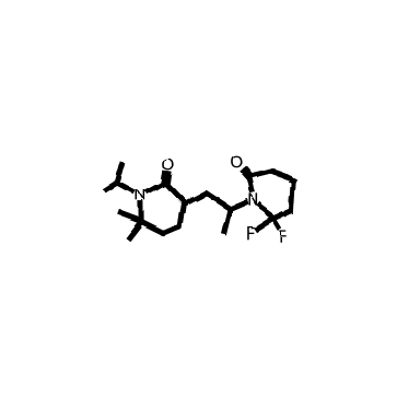 CC(C)N1C(=O)C(CC(C)N2C(=O)CCCC2(F)F)CCC1(C)C